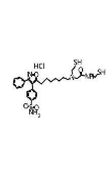 Cl.NS(=O)(=O)c1ccc(-c2c(-c3ccccc3)noc2CCCCCCCN(CCS)CC(=O)NCCS)cc1